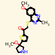 COc1ccc2nc(C)nc(SCC(=O)c3ccc(C4(OC)CCNC4)s3)c2c1